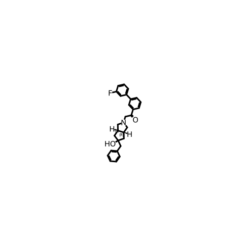 O=C(CN1C[C@@H]2CC(O)(Cc3ccccc3)C[C@@H]2C1)c1cccc(-c2cccc(F)c2)c1